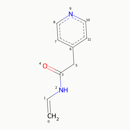 C=CNC(=O)Cc1ccncc1